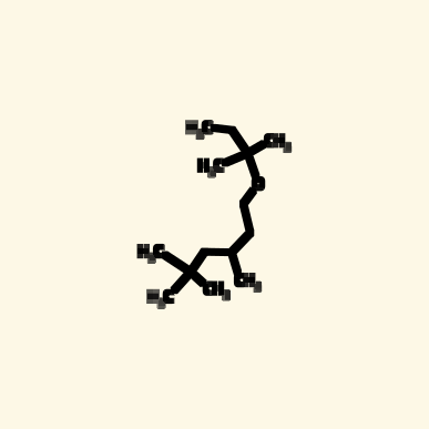 CCC(C)(C)OCCC(C)CC(C)(C)C